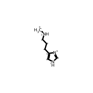 CNCCCc1c[nH]cn1